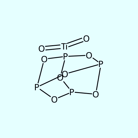 O1P2OP3OP1OP(O2)O3.[O]=[Ti]=[O]